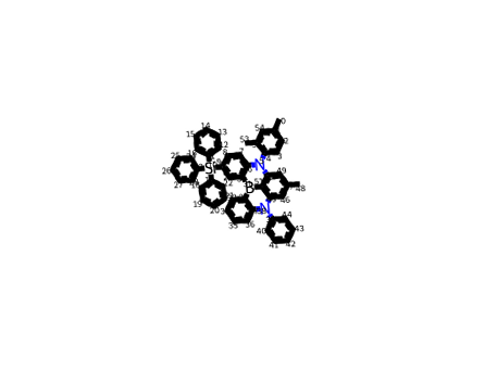 Cc1ccc(N2c3ccc([Si](c4ccccc4)(c4ccccc4)c4ccccc4)cc3B3c4ccccc4N(c4ccccc4)c4cc(C)cc2c43)c(C)c1